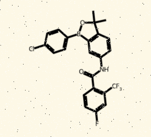 CC1(C)OB(c2ccc(Cl)cc2)c2cc(NC(=O)c3ccc(F)cc3C(F)(F)F)ccc21